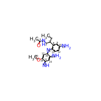 CCC(CNC(C)=O)c1cc(N)ccc1N=C1C=C(OC)C(=N)C=C1N